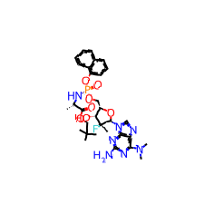 C[C@H](N[P@](=O)(OC[C@H]1O[C@@H](n2cnc3c(N(C)C)nc(N)nc32)[C@](C)(F)[C@@H]1O)Oc1cccc2ccccc12)C(=O)OCC(C)(C)C